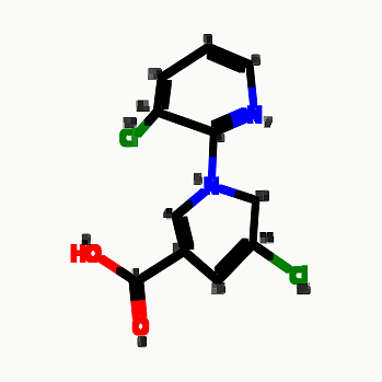 O=C(O)C1=CN(c2ncccc2Cl)CC(Cl)=C1